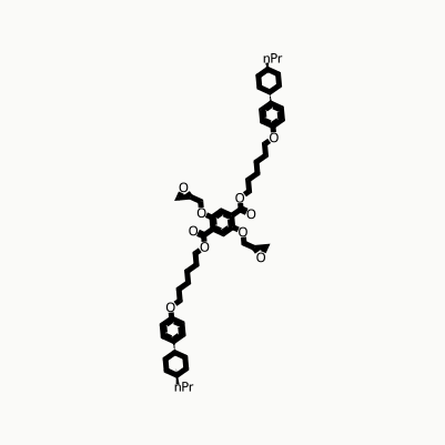 CCC[C@H]1CC[C@H](c2ccc(OCCCCCCOC(=O)c3cc(OCC4CO4)c(C(=O)OCCCCCCOc4ccc([C@H]5CC[C@H](CCC)CC5)cc4)cc3OCC3CO3)cc2)CC1